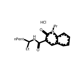 CCCCCC(CC)NC(=O)c1cc2ccccc2n(C(C)C)c1=O.Cl